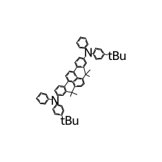 CC(C)(C)c1ccc(N(c2ccccc2)c2ccc3c(c2)C(C)(C)c2ccc4c5c(ccc-3c25)-c2ccc(N(c3ccccc3)c3ccc(C(C)(C)C)cc3)cc2C4(C)C)cc1